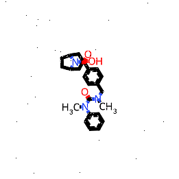 CN(Cc1ccc(C(=O)N2C3CCC2CC(O)C3)cc1)C(=O)N(C)c1ccccc1